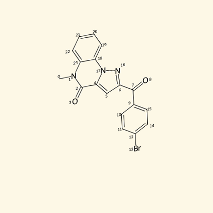 Cn1c(=O)c2cc(C(=O)c3ccc(Br)cc3)nn2c2ccccc21